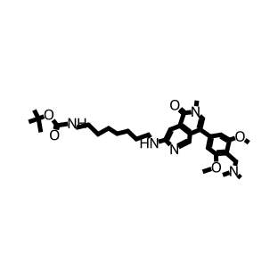 COc1cc(-c2cn(C)c(=O)c3cc(NCCCCCCCCNC(=O)OC(C)(C)C)ncc23)cc(OC)c1CN(C)C